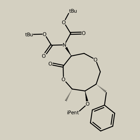 CCCC(C)O[C@@H]1[C@@H](Cc2ccccc2)COC[C@H](N(C(=O)OC(C)(C)C)C(=O)OC(C)(C)C)C(=O)O[C@H]1C